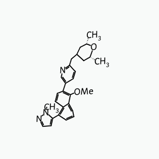 COc1c(-c2ccc(CC3C[C@@H](C)O[C@@H](C)C3)nc2)ccc2c(-c3ccnn3C)cccc12